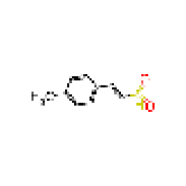 Cc1ccc(C=C[SH](=O)=O)cc1